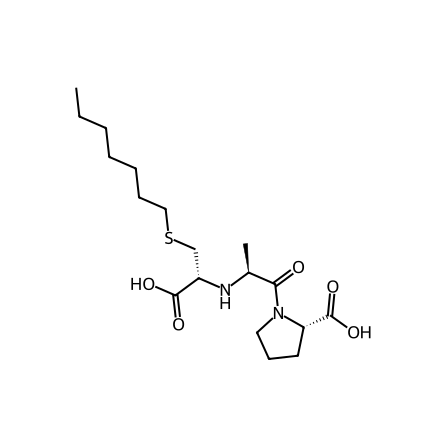 CCCCCCCSC[C@H](N[C@@H](C)C(=O)N1CCC[C@H]1C(=O)O)C(=O)O